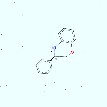 c1ccc([C@@H]2COc3ccccc3N2)cc1